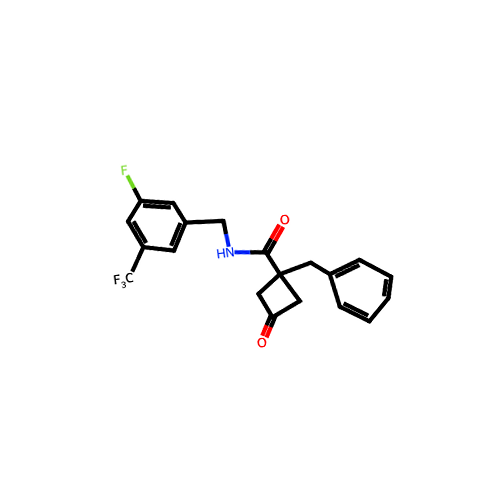 O=C1CC(Cc2ccccc2)(C(=O)NCc2cc(F)cc(C(F)(F)F)c2)C1